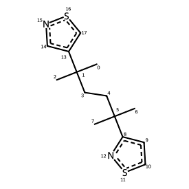 CC(C)(CCC(C)(C)c1ccsn1)c1cnsc1